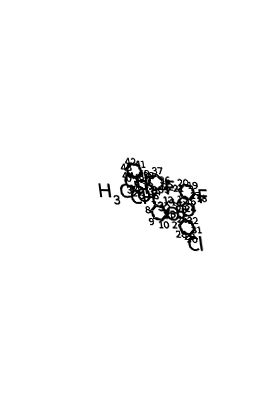 CC(C)(C)[Si](OCc1ccccc1CC(c1cc(F)ccc1F)S(=O)(=O)c1ccc(Cl)cc1)(c1ccccc1)c1ccccc1